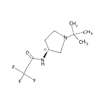 CC(C)(C)N1CC[C@H](NC(=O)C(F)(F)F)C1